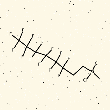 C[Si](Cl)(Cl)CCC(F)(F)C(F)(F)C(F)(F)C(F)(F)C(F)(F)C(F)(F)F